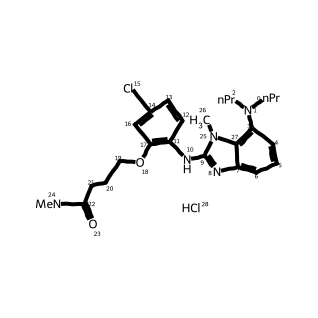 CCCN(CCC)c1cccc2nc(Nc3ccc(Cl)cc3OCCCC(=O)NC)n(C)c12.Cl